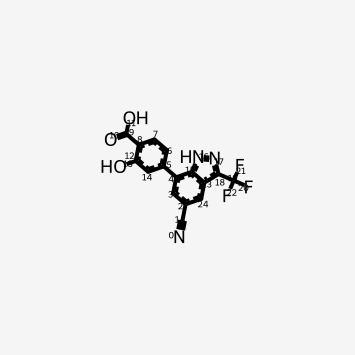 N#Cc1cc(-c2ccc(C(=O)O)c(O)c2)c2[nH]nc(C(F)(F)F)c2c1